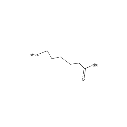 CCCCCCCCCCCC(=O)C(C)(C)C